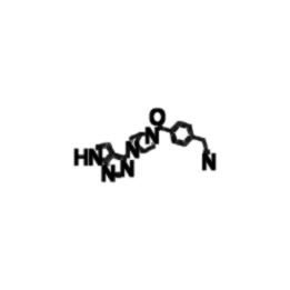 N#CCc1ccc(C(=O)N2CC3CC2CN3c2ncnc3[nH]ccc23)cc1